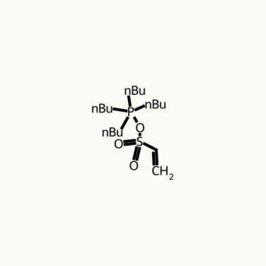 C=CS(=O)(=O)OP(CCCC)(CCCC)(CCCC)CCCC